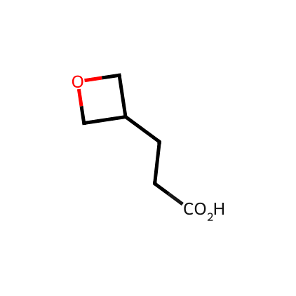 O=C(O)CCC1COC1